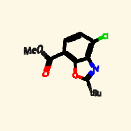 COC(=O)c1ccc(Cl)c2nc(C(C)(C)C)oc12